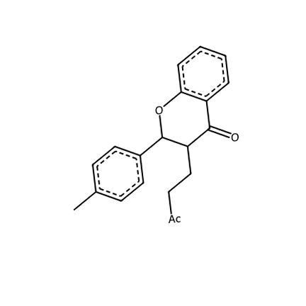 CC(=O)CCC1C(=O)c2ccccc2OC1c1ccc(C)cc1